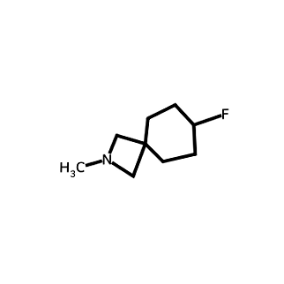 CN1CC2(CCC(F)CC2)C1